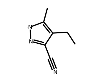 CCC1=C(C)[N]N=C1C#N